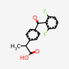 CC(C(=O)O)c1ccc(C(=O)c2c(F)cccc2F)cc1